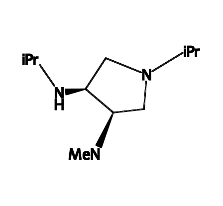 CN[C@@H]1CN(C(C)C)C[C@@H]1NC(C)C